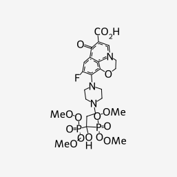 COOP(=O)(OOC)C(O)(CCN1CCN(c2c(F)cc3c(=O)c(C(=O)O)cn4c3c2OCC4)CC1)P(=O)(OOC)OOC